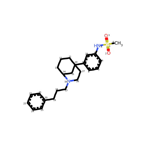 CS(=O)(=O)Nc1cccc(C23CCCC(C2)N(CCCc2ccccc2)CC3)c1